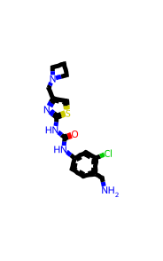 NCc1ccc(NC(=O)Nc2nc(CN3CCC3)cs2)cc1Cl